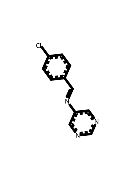 Clc1ccc(C=Nc2cncnc2)cc1